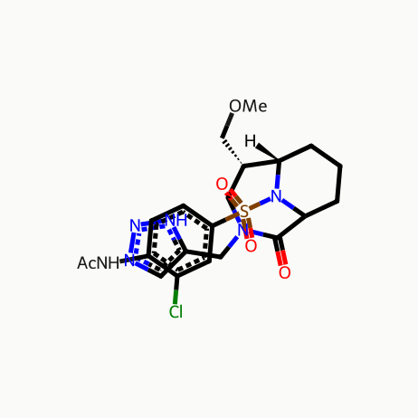 COC[C@H]1CN(Cc2cnn[nH]2)C(=O)C2CCC[C@@H]1N2S(=O)(=O)c1ccc(NC(C)=O)c(Cl)c1